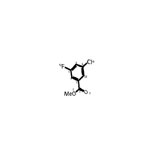 COC(=O)c1cc(F)cc(Cl)c1